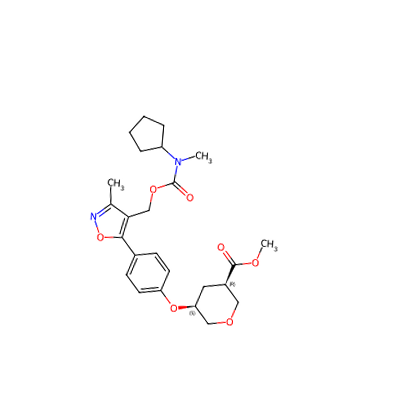 COC(=O)[C@H]1COC[C@@H](Oc2ccc(-c3onc(C)c3COC(=O)N(C)C3CCCC3)cc2)C1